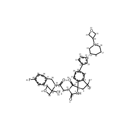 O=C1N[C@]2(CC(F)(F)c3cc(-c4cnn([C@H]5CCCN(C6COC6)C5)c4)ccc32)C(=O)N1CC(=O)N(Cc1ccc(F)cc1)C1(C(F)(F)F)COC1